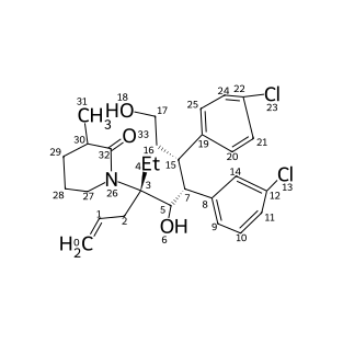 C=CC[C@@](CC)(C(O)[C@@H](c1cccc(Cl)c1)[C@H](CCO)c1ccc(Cl)cc1)N1CCCC(C)C1=O